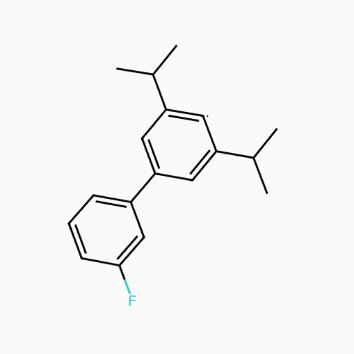 CC(C)c1[c]c(C(C)C)cc(-c2cccc(F)c2)c1